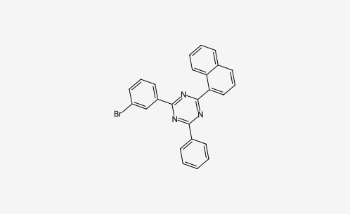 Brc1cccc(-c2nc(-c3ccccc3)nc(-c3cccc4ccccc34)n2)c1